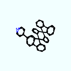 c1ccc2c(c1)-c1ccccc1C21c2ccccc2C2(c3ccccc3-c3ccc(-c4ccncc4)cc32)c2ccccc21